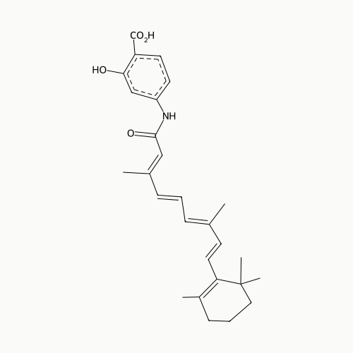 CC(C=CC1=C(C)CCCC1(C)C)=CC=CC(C)=CC(=O)Nc1ccc(C(=O)O)c(O)c1